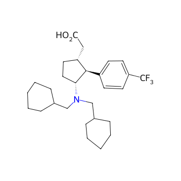 O=C(O)C[C@H]1CC[C@@H](N(CC2CCCCC2)CC2CCCCC2)[C@@H]1c1ccc(C(F)(F)F)cc1